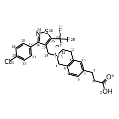 O=C(O)CCc1ccc2c(c1)CCN(Cc1c(-c3ccc(Cl)cc3)nsc1C(F)(F)F)C2